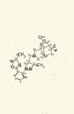 Cc1noc(-c2cccnc2-n2cc(CN3CCC4(CC3)OCC(F)(F)C3C=C(Cl)SC34)c(C)n2)n1